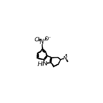 CN(C)C1CCc2[nH]c3ccc([N+](=O)[O-])cc3c2C1